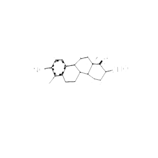 Cc1c(C#N)ccc2c1CCC1C2CC[C@]2(C)C(=O)C(C=O)CCC12